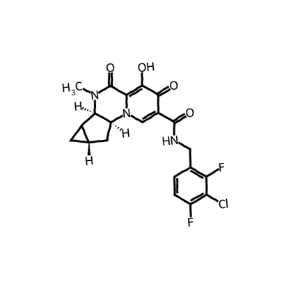 CN1C(=O)c2c(O)c(=O)c(C(=O)NCc3ccc(F)c(Cl)c3F)cn2[C@H]2C[C@@H]3CC3[C@H]21